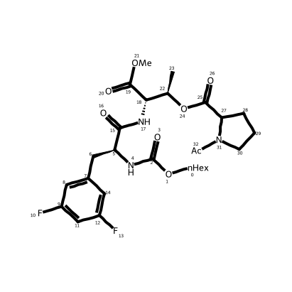 CCCCCCOC(=O)N[C@@H](Cc1cc(F)cc(F)c1)C(=O)N[C@H](C(=O)OC)[C@@H](C)OC(=O)C1CCCN1C(C)=O